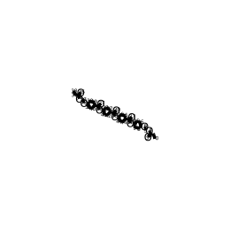 C=CC(=O)OCOc1ccc(OC(=O)c2ccc(OC(=O)c3ccc(OC(=O)c4ccc(OCOC(=O)C=C)cc4)cc3)cc2)cc1